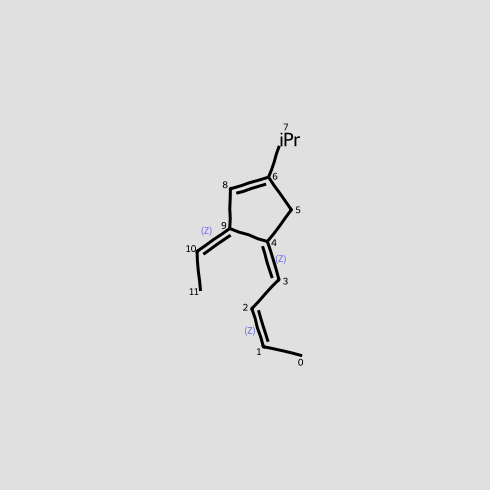 C\C=C/C=C1/CC(C(C)C)=C/C1=C/C